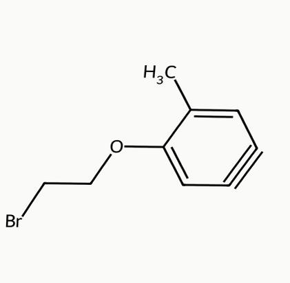 Cc1cc#ccc1OCCBr